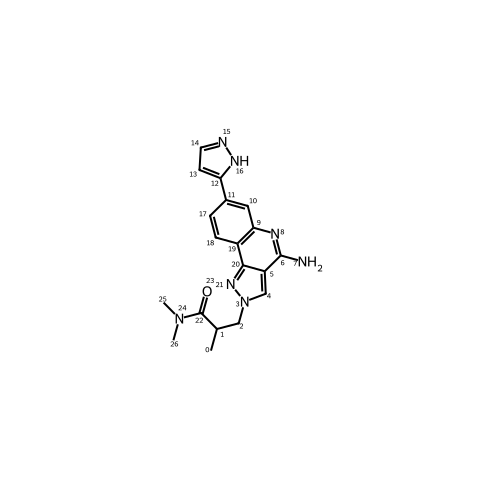 CC(Cn1cc2c(N)nc3cc(-c4ccn[nH]4)ccc3c2n1)C(=O)N(C)C